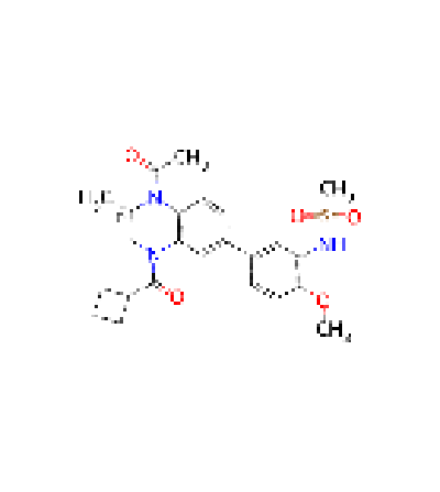 COc1ccc(-c2ccc3c(c2)N(C(=O)C2CCC2)C[C@H](C)N3C(C)=O)cc1NS(C)(=O)=O